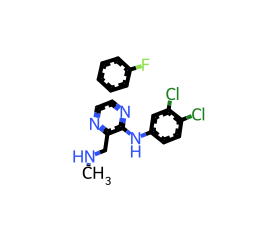 CNCc1nccnc1Nc1ccc(Cl)c(Cl)c1.Fc1ccccc1